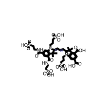 CC1(C)C(/C=C/C=C2/N(CCCS(=O)(=O)O)c3cc(C(=O)NCCS(=O)(=O)O)cc(C(=O)NCCS(=O)(=O)O)c3C2(C)C)=[N+](CCCS(=O)(=O)O)c2cc(C(=O)O)cc(C(=O)O)c21